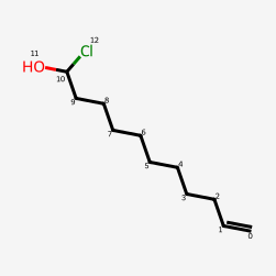 C=CCCCCCCCCC(O)Cl